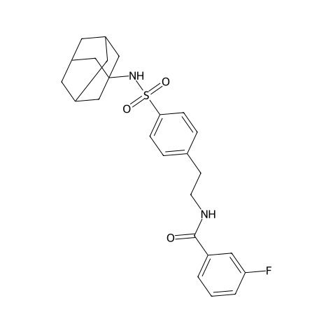 O=C(NCCc1ccc(S(=O)(=O)NC23CC4CC(CC(C4)C2)C3)cc1)c1cccc(F)c1